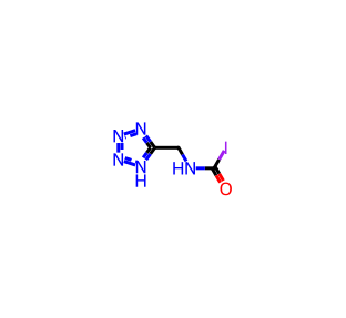 O=C(I)NCc1nnn[nH]1